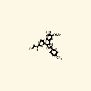 COc1cc(-c2nc(-c3ccc(C(F)(F)F)cc3)oc2-c2ccnc(NCC(C)C)n2)cnc1N